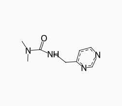 CN(C)C(=O)NCCc1ccncn1